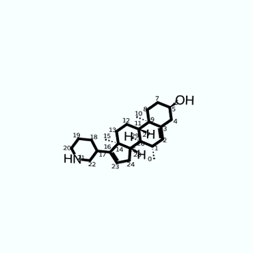 C[C@H]1C=C2C[C@H](O)CC[C@]2(C)[C@H]2CC[C@]3(C)C(C4CCCNC4)=CC[C@H]3[C@H]12